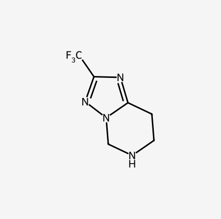 FC(F)(F)c1nc2n(n1)CNCC2